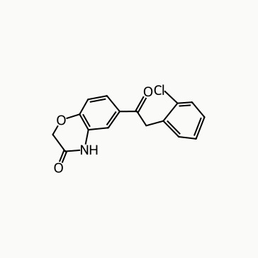 O=C1COc2ccc(C(=O)Cc3ccccc3Cl)cc2N1